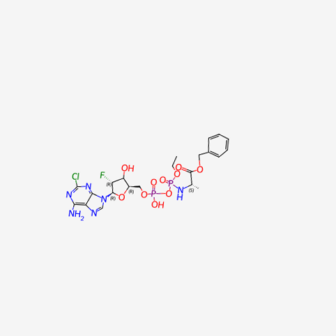 CCOP(=O)(N[C@@H](C)C(=O)OCc1ccccc1)OP(=O)(O)OC[C@H]1O[C@@H](n2cnc3c(N)nc(Cl)nc32)[C@H](F)C1O